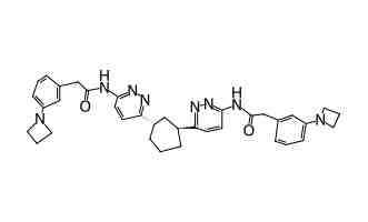 O=C(Cc1cccc(N2CCC2)c1)Nc1ccc([C@H]2CCC[C@H](c3ccc(NC(=O)Cc4cccc(N5CCC5)c4)nn3)C2)nn1